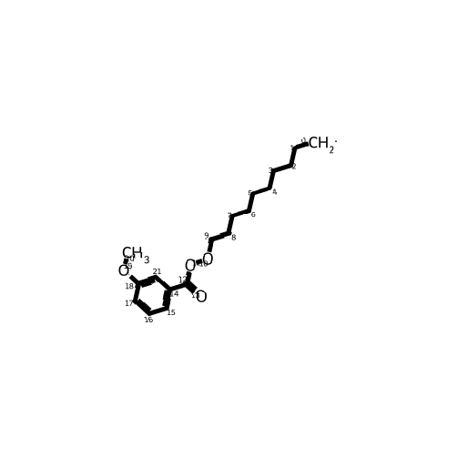 [CH2]CCCCCCCCCOOC(=O)c1cccc(OC)c1